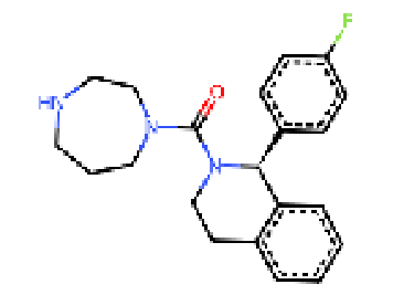 O=C(N1CCCNCC1)N1CCc2ccccc2[C@@H]1c1ccc(F)cc1